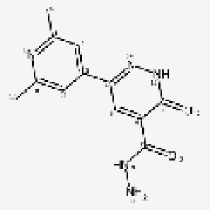 Cc1cc(-c2cc(C(=O)NN)c(=O)[nH]n2)cc(C)n1